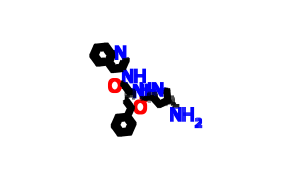 NC[C@H]1CN[C@H](C(=O)N[C@H](CCc2ccccc2)C(=O)Nc2cnc3ccccc3c2)C1